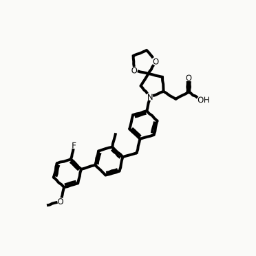 COc1ccc(F)c(-c2ccc(Cc3ccc(N4CC5(CC4CC(=O)O)OCCO5)cc3)c(C)c2)c1